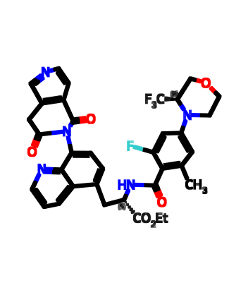 CCOC(=O)[C@H](Cc1ccc(N2C(=O)Cc3cnccc3C2=O)c2ncccc12)NC(=O)c1c(C)cc(N2CCOC[C@@H]2C(F)(F)F)cc1F